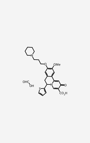 COc1cc2c(cc1OCCCN1CCCCC1)CC(c1cccs1)n1cc(C(=O)O)c(=O)cc1-2.O=CO